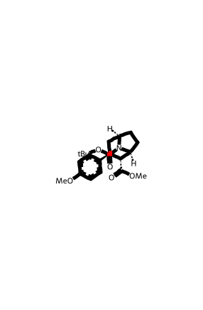 COC(=O)[C@@H]1[C@@H](c2ccc(OC)cc2)C[C@H]2CC[C@@H]1N2C(=O)OC(C)(C)C